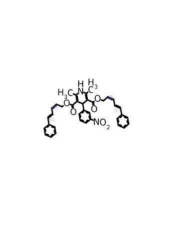 CC1=C(C(=O)OC/C=C\C=C\c2ccccc2)C(c2cccc([N+](=O)[O-])c2)C(C(=O)OC/C=C\C=C\c2ccccc2)=C(C)N1